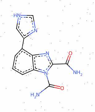 NC(=O)c1nc2c(-c3c[nH]cn3)cccc2n1C(N)=O